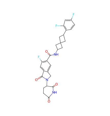 O=C1CCC(N2Cc3cc(C(=O)NC4CC5(C4)CC(c4ccc(F)cc4F)C5)c(F)cc3C2=O)C(=O)N1